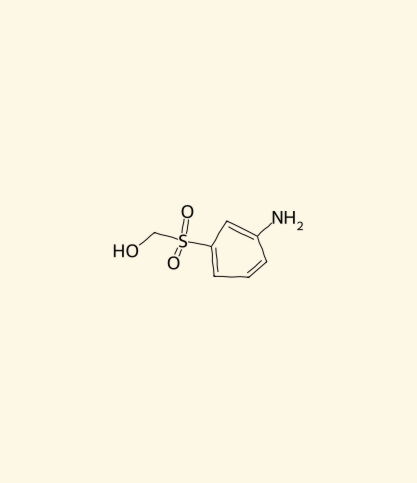 Nc1cccc(S(=O)(=O)CO)c1